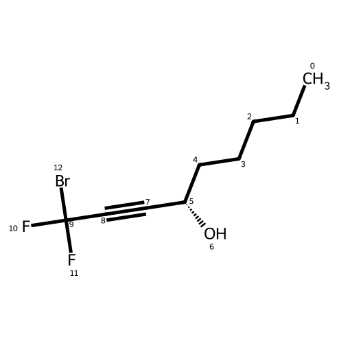 CCCCC[C@H](O)C#CC(F)(F)Br